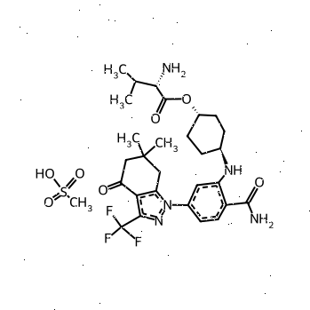 CC(C)[C@H](N)C(=O)O[C@H]1CC[C@H](Nc2cc(-n3nc(C(F)(F)F)c4c3CC(C)(C)CC4=O)ccc2C(N)=O)CC1.CS(=O)(=O)O